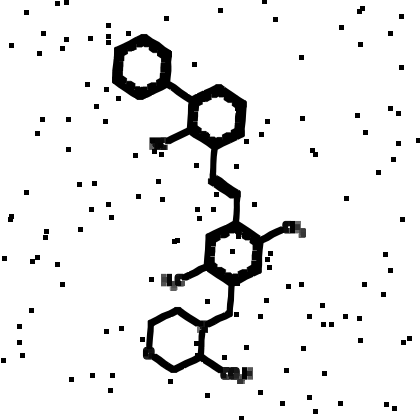 Cc1cc(CN2CCOCC2C(=O)O)c(C)cc1/C=C/c1cccc(-c2ccccc2)c1C#N